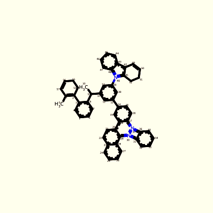 CC1=C(c2ccccc2C(C)c2cc(-c3ccc4c(c3)c3ccc5ccccc5c3n3c5ccccc5n43)cc(-n3c4c(c5ccccc53)C=CCC4)c2)CCC=C1